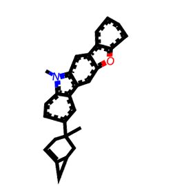 Cn1c2ccc(C3(C)CC=C4CC4C3)cc2c2cc3oc4ccccc4c3cc21